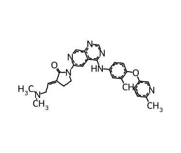 Cc1ccc(Oc2ccc(Nc3ncnc4cnc(N5CC/C(=C\CN(C)C)C5=O)cc34)cc2C)cn1